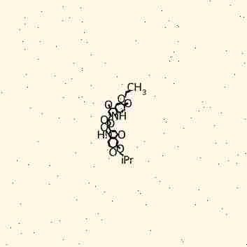 CC=CCOc1cc2c(=O)cc(C(=O)OC(=O)c3cc(=O)c4cc(OCCC(C)C)c(=O)ccc4[nH]3)[nH]c2ccc1=O